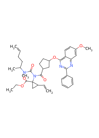 C=CCCC(C)N(C)C(=O)N(C(=O)C1CCC(Oc2nc(-c3ccccc3)nc3cc(OC)ccc23)C1)C1(C(=O)OCC)CC1C=C